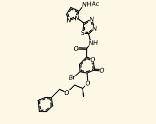 CC(=O)Nc1ccnn1-c1nnc(NC(=O)c2cc(Br)c(O[C@@H](C)COCc3ccccc3)c(=O)o2)s1